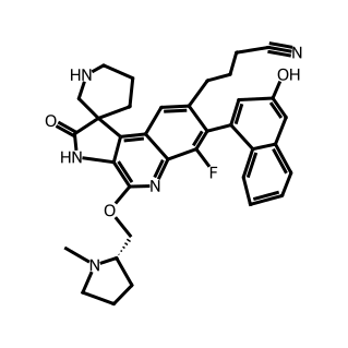 CN1CCC[C@H]1COc1nc2c(F)c(-c3cc(O)cc4ccccc34)c(CCCC#N)cc2c2c1NC(=O)C21CCCNC1